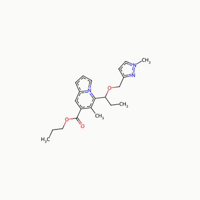 CCCOC(=O)c1cc2cccn2c(C(CC)OCc2ccn(C)n2)c1C